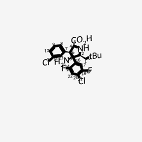 CC(C)(C)C[C@@H]1N[C@@H](C(=O)O)[C@H](c2cccc(Cl)c2)[C@@]1(N)c1cc(F)c(Cl)cc1F